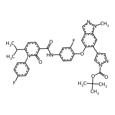 CC(C)c1ccc(C(=O)Nc2ccc(Oc3cc4cnn(C)c4cc3-c3cnn(C(=O)OC(C)(C)C)c3)c(F)c2)c(=O)n1-c1ccc(F)cc1